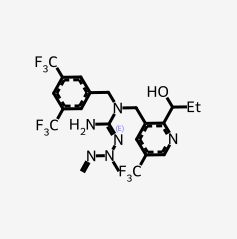 C=NN(C)/N=C(\N)N(Cc1cc(C(F)(F)F)cc(C(F)(F)F)c1)Cc1cc(C(F)(F)F)cnc1C(O)CC